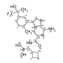 Cc1ccc(C(C)(O)C(F)(F)F)cc1-c1cnc2c(N)nc(C(=O)N[C@@H](B(O)O)C3CCC3)cn12